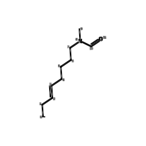 [CH2]CC=CCCCCN(C)C=O